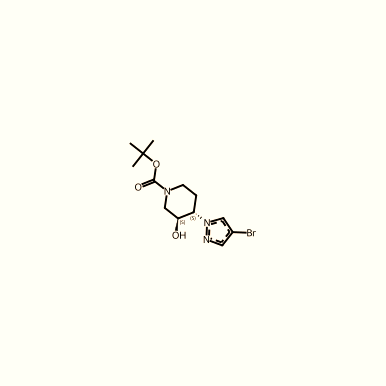 CC(C)(C)OC(=O)N1CC[C@H](n2cc(Br)cn2)[C@@H](O)C1